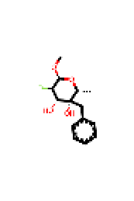 CO[C@H]1O[C@H](C)[C@@](O)(Cc2ccccc2)[C@H](O)[C@H]1F